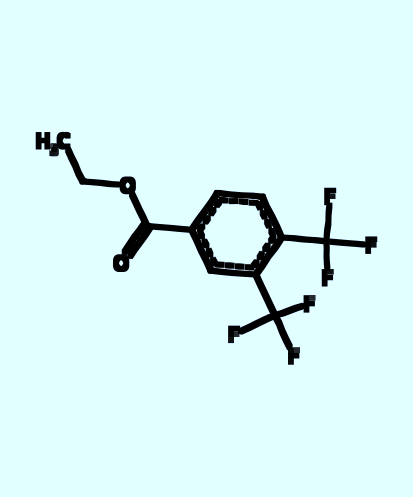 CCOC(=O)c1ccc(C(F)(F)F)c(C(F)(F)F)c1